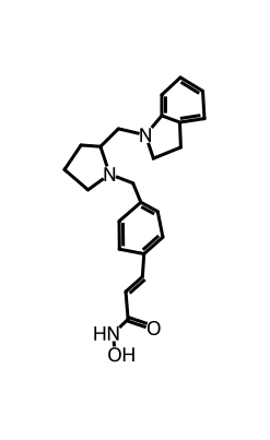 O=C(/C=C/c1ccc(CN2CCCC2CN2CCc3ccccc32)cc1)NO